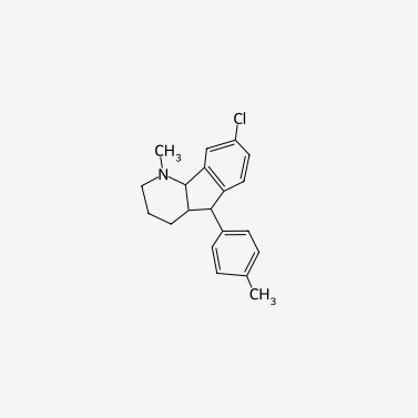 Cc1ccc(C2c3ccc(Cl)cc3C3C2CCCN3C)cc1